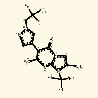 [2H]C([2H])([2H])n1c(C)cn2c(=O)c(-c3cnn(CC(F)(F)C(F)(F)F)c3)c(C(F)(F)F)nc12